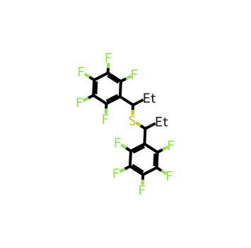 CCC(SC(CC)c1c(F)c(F)c(F)c(F)c1F)c1c(F)c(F)c(F)c(F)c1F